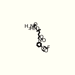 CC(C)(CCC1CN(c2cccc(N3CCOC(F)C3)c2)C(=O)O1)ONC(N)=O